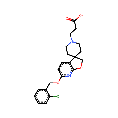 O=C(O)CCN1CCC2(CC1)COc1nc(OCc3ccccc3Cl)ccc12